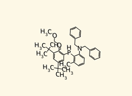 COCOc1c(Pc2c(C)cccc2N(Cc2ccccc2)Cc2ccccc2)cc(C(C)(C)C)cc1C(C)(C)C